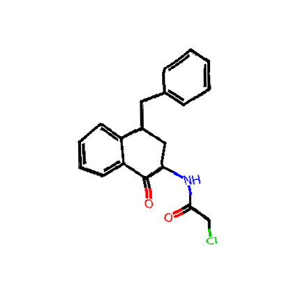 O=C(CCl)NC1CC(Cc2ccccc2)c2ccccc2C1=O